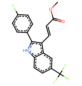 COC(=O)/C=C/c1c(-c2ccc(F)cc2)[nH]c2ccc(C(F)(F)F)cc12